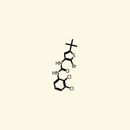 CC(C)(C)c1cc(NC(=O)Nc2cccc(Cl)c2Cl)c(Br)s1